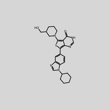 O=c1[nH]cnc2c(-c3ccc4c(c3)ncn4C3CCCCC3)sc(N3CCCC(CO)C3)c12